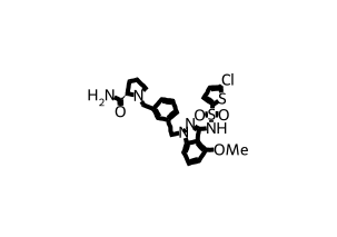 COc1cccc2c1c(NS(=O)(=O)c1ccc(Cl)s1)nn2Cc1cccc(CN2CCC[C@H]2C(N)=O)c1